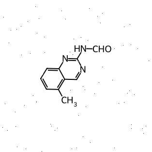 Cc1cccc2nc(NC=O)ncc12